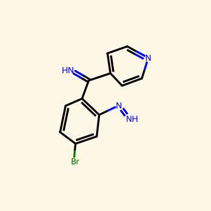 N=Nc1cc(Br)ccc1C(=N)c1ccncc1